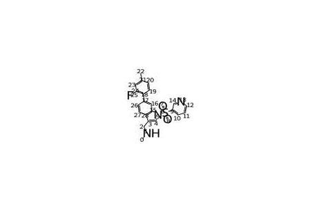 CNCc1cn(S(=O)(=O)c2cccnc2)c2cc(-c3ccc(C)cc3F)ccc12